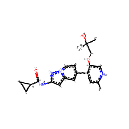 Cc1cc(-c2ccn3nc(NC(=O)C4CC4)cc3c2)c(OC[C@@](C)(O)C(F)(F)F)cn1